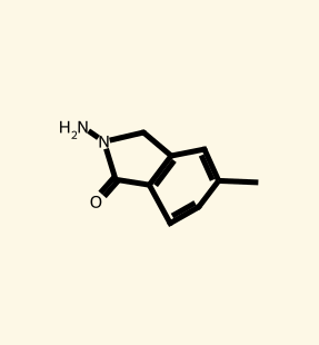 Cc1ccc2c(c1)CN(N)C2=O